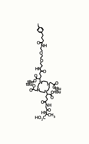 CC(NC(=O)CNC(=O)CCC(C(=O)OC(C)(C)C)N1CCN(CC(=O)OC(C)(C)C)CCN(C(CCC(=O)NCCOCCOCCNC(=O)CCCc2ccc(I)cc2)C(=O)OC(C)(C)C)CCN(CC(=O)OC(C)(C)C)CC1)C(=O)O